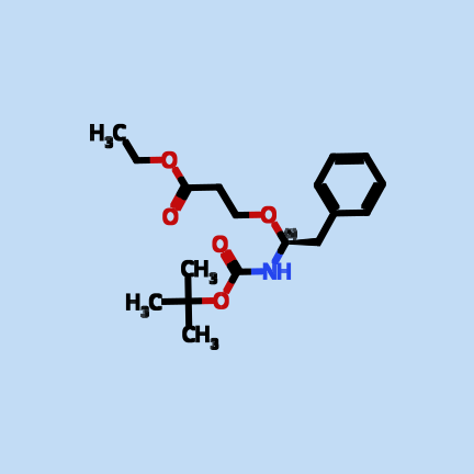 CCOC(=O)CCO[C@@H](Cc1ccccc1)NC(=O)OC(C)(C)C